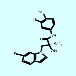 C[C@](O)(Cn1ccc2ccc(F)cc21)C(=O)Nc1ccc(C#N)c(Cl)c1